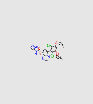 COc1cc(OC)c(Cl)c(-c2ccc(OC(=O)Nc3ccn[nH]3)c3nccnc23)c1Cl